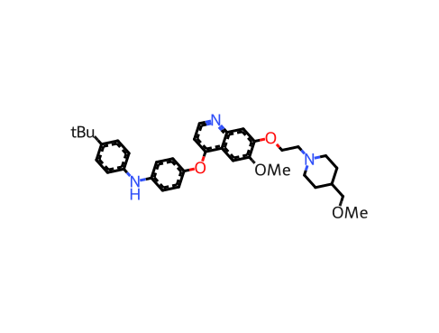 COCC1CCN(CCOc2cc3nccc(Oc4ccc(Nc5ccc(C(C)(C)C)cc5)cc4)c3cc2OC)CC1